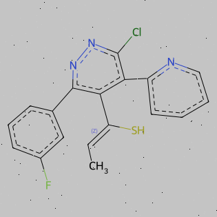 C/C=C(\S)c1c(-c2cccc(F)c2)nnc(Cl)c1-c1ccccn1